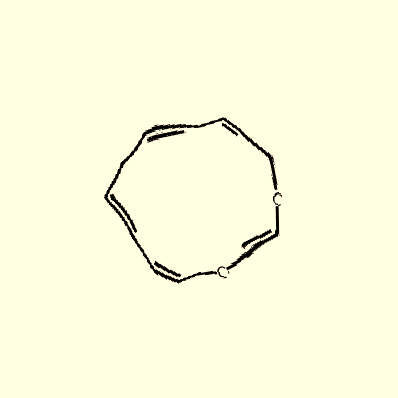 [CH]1C=CC=CCC=CC=CCCC=C1